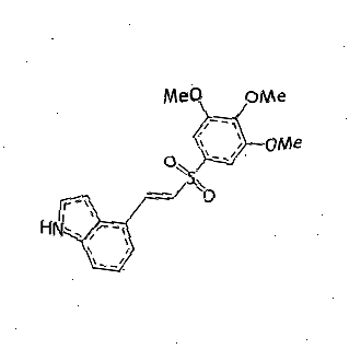 COc1cc(S(=O)(=O)/C=C/c2cccc3[nH]ccc23)cc(OC)c1OC